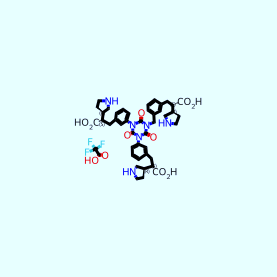 O=C(O)C(F)(F)F.O=C(O)[C@@H](Cc1cccc(Cn2c(=O)n(-c3cccc(C[C@H](C(=O)O)[C@H]4CCNC4)c3)c(=O)n(-c3cccc(C[C@H](C(=O)O)[C@H]4CCNC4)c3)c2=O)c1)[C@H]1CCNC1